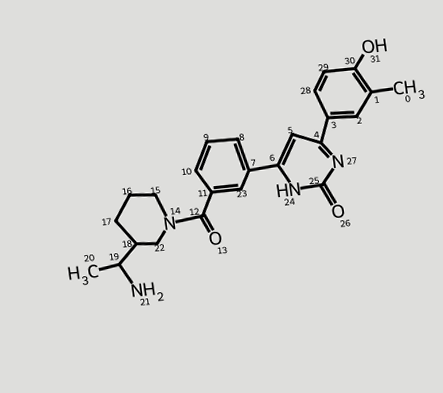 Cc1cc(-c2cc(-c3cccc(C(=O)N4CCCC(C(C)N)C4)c3)[nH]c(=O)n2)ccc1O